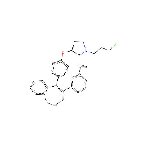 COc1cccc(C2=C(c3ccc(OC4CCN(CCCF)C4)cc3)c3ccccc3CCC2)c1